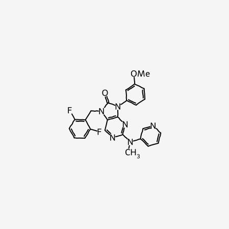 COc1cccc(-n2c(=O)n(Cc3c(F)cccc3F)c3cnc(N(C)c4cccnc4)nc32)c1